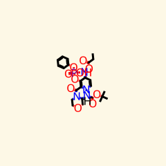 CCC(=O)O/N=c1\ccn2c(c1OP(=O)(O)Oc1ccccc1)C(=O)N1CCOC[C@H]1N2C(=O)OC(C)(C)C